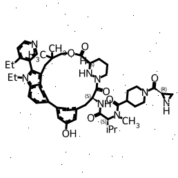 CCc1ccncc1-c1c2c3cc(ccc3n1CC)-c1cc(O)cc(c1)C[C@H](NC(=O)[C@H](C(C)C)N(C)C(=O)C1CCN(C(=O)[C@H]3CN3)CC1)C(=O)N1CCC[C@H](N1)C(=O)OCC(C)(C)C2